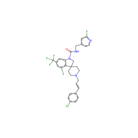 O=C(NCc1ccnc(F)c1)N1CC2(CCN(CC=Cc3ccc(Cl)cc3)CC2)c2c(F)cc(C(F)(F)F)cc21